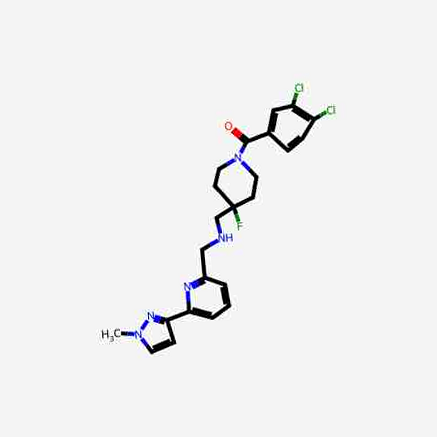 Cn1ccc(-c2cccc(CNCC3(F)CCN(C(=O)c4ccc(Cl)c(Cl)c4)CC3)n2)n1